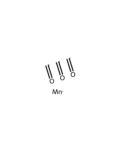 [C]=O.[C]=O.[C]=O.[Mn]